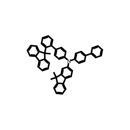 CC1(C)c2ccccc2-c2ccc(N(c3ccc(-c4ccccc4)cc3)c3ccc(-c4ccccc4C4(C)c5ccccc5-c5ccccc54)cc3)cc21